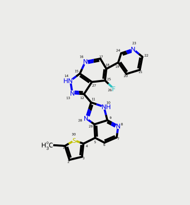 Cc1ccc(-c2ccnc3[nH]c(-c4n[nH]c5ncc(-c6cccnc6)c(F)c45)nc23)s1